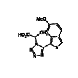 COc1ccc2csc(-c3nnnn3C(C)C(=O)O)c2c1